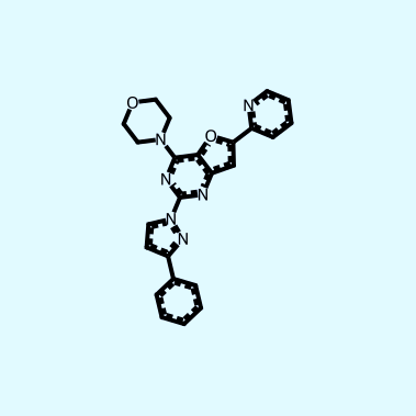 c1ccc(-c2ccn(-c3nc(N4CCOCC4)c4oc(-c5ccccn5)cc4n3)n2)cc1